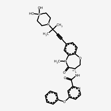 CN1C(=O)[C@@H](NC(=O)c2cc(Oc3ccccc3)ccn2)COc2ccc(C#CC(C)(C)N3CCS(O)(O)CC3)cc21